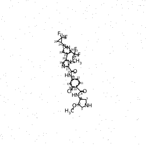 CO[C@H]1CNC[C@@H]1NC(=O)c1ccc(NC(=O)c2ncc(-c3cn(C4CC4(F)F)nc3C(F)(F)F)n2C)cc1Cl